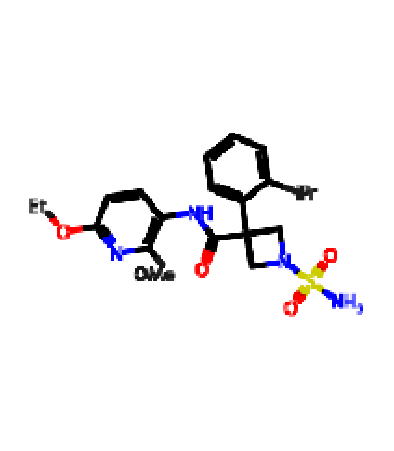 CCOc1ccc(NC(=O)C2(c3ccccc3C(C)C)CN(S(N)(=O)=O)C2)c(OC)n1